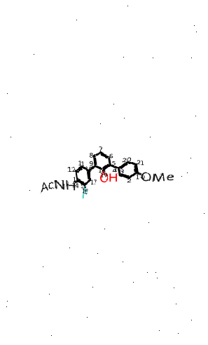 COc1ccc(-c2cccc(-c3ccc(NC(C)=O)c(F)c3)c2O)cc1